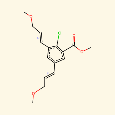 COC/C=C/c1cc(/C=C/COC)c(Cl)c(C(=O)OC)c1